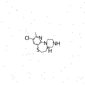 Cc1nc2c(cc1Cl)SCC[C@@H]1CNCCN21